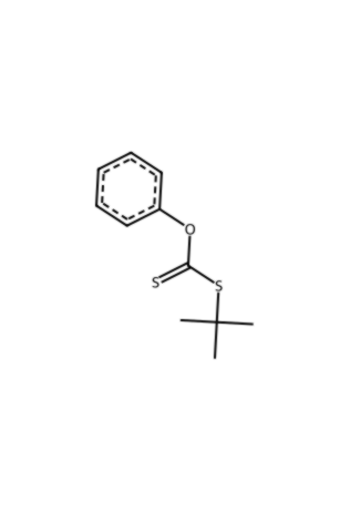 CC(C)(C)SC(=S)Oc1ccccc1